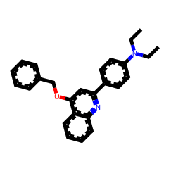 CCN(CC)c1ccc(-c2cc(OCc3ccccc3)c3ccccc3n2)cc1